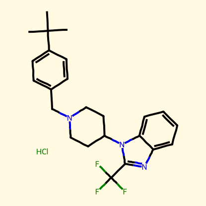 CC(C)(C)c1ccc(CN2CCC(n3c(C(F)(F)F)nc4ccccc43)CC2)cc1.Cl